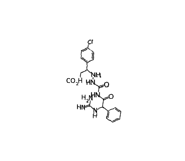 N=C(N)NC(C(=O)NC(=O)NNC(CC(=O)O)c1ccc(Cl)cc1)c1ccccc1